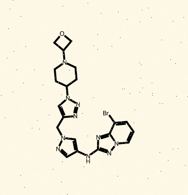 Brc1cccn2nc(Nc3cnn(Cc4cn(C5CCN(C6COC6)CC5)nn4)c3)nc12